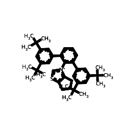 CC(C)(C)c1cc(-c2cccc(-c3cc(C(C)(C)C)cc(C(C)(C)C)c3)c2-[n+]2csc3c2CCC3)cc(C(C)(C)C)c1